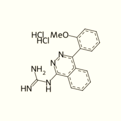 COc1ccccc1-c1nnc(NC(=N)N)c2ccccc12.Cl.Cl